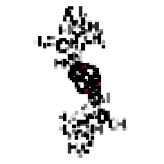 COC(=O)N[C@H](C(=O)N1C[C@H](C)C[C@H]1c1nc2cc(-c3cc4ccc3/C=C\c3ccc(c(-c5ccc6[nH]c([C@@H]7C[C@@H](C)CN7C(=O)[C@@H](NC(=O)OC)C(C)C)nc6c5)c3)/C=C\4)ccc2[nH]1)C(C)C